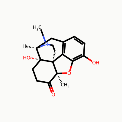 CN1CC[C@]23c4c5ccc(O)c4O[C@@]2(C)C(=O)CC[C@@]3(O)[C@H]1C5